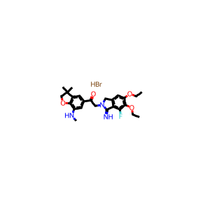 Br.CCOc1cc2c(c(F)c1OCC)C(=N)N(CC(=O)c1cc(NC)c3c(c1)C(C)(C)CO3)C2